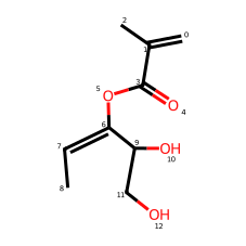 C=C(C)C(=O)OC(=CC)C(O)CO